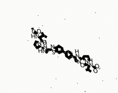 COC(=O)N[C@H](C(=O)N1CCC[C@H]1c1ncc(-c2ccc(-c3ccc4nc(C5=CNC([C@@H]6CCCN6C(=O)[C@@H](NC(=O)OC)C(C)C)N5)sc4c3)cc2)[nH]1)C(C)C